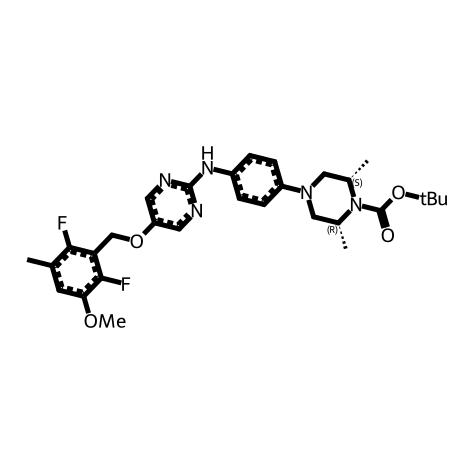 COc1cc(C)c(F)c(COc2cnc(Nc3ccc(N4C[C@@H](C)N(C(=O)OC(C)(C)C)[C@@H](C)C4)cc3)nc2)c1F